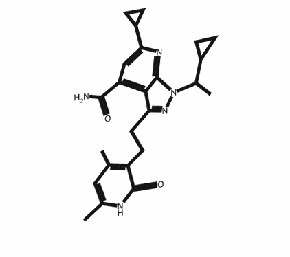 Cc1cc(C)c(CCc2nn(C(C)C3CC3)c3nc(C4CC4)cc(C(N)=O)c23)c(=O)[nH]1